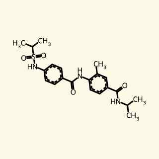 Cc1cc(C(=O)NC(C)C)ccc1NC(=O)c1ccc(NS(=O)(=O)C(C)C)cc1